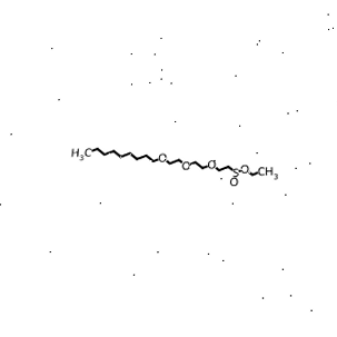 CCCCCCCCCOCCOCCOCCS(=O)OCC